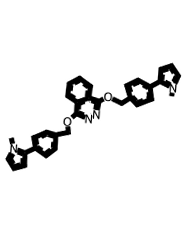 Cn1cccc1-c1ccc(COc2nnc(OCc3ccc(-c4cccn4C)cc3)c3ccccc23)cc1